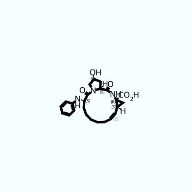 O=C1N[C@]2(C(=O)O)C[C@H]2/C=C\CCCCC[C@H](Nc2ccccc2)C(=O)N2C[C@H](O)C[C@@H]12